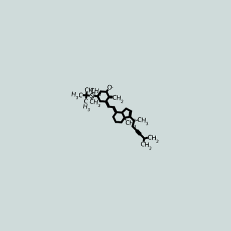 C=C1C(=CC=C2CCC[C@]3(C)C([C@H](C)CC#CC(C)C)=CCC23)C[C]([Si](C)(C)C(C)(C)C)CC1[O]